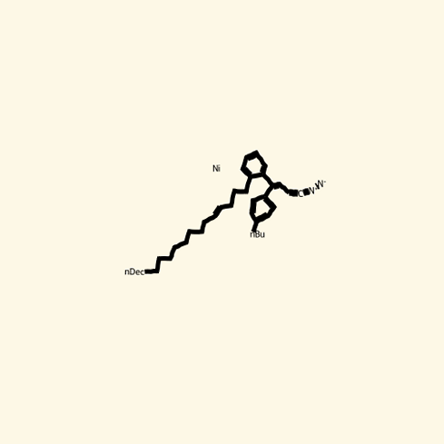 CCCCCCCCCCCCCCCCCCC=CCCCc1ccccc1C(=CC=C=[N+]=[N-])c1ccc(CCCC)cc1.[Ni]